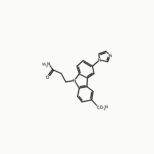 NC(=O)CCn1c2ccc(C(=O)O)cc2c2cc(-n3ccnc3)ccc21